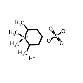 CC1CCCC(C)[N+]1(C)C.O=S(=O)([O-])[O-].[H+]